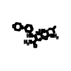 CC(C)C[C@@H](Nc1ncc(C(N)=O)c(Nc2cccc(N3CCOCC3)c2)n1)C(N)=O